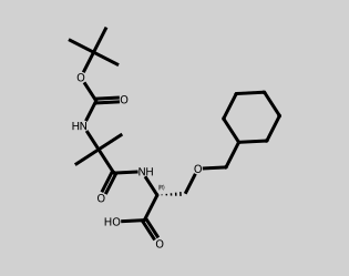 CC(C)(C)OC(=O)NC(C)(C)C(=O)N[C@H](COCC1CCCCC1)C(=O)O